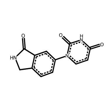 O=C1NCc2ccc(-n3ccc(=O)[nH]c3=O)cc21